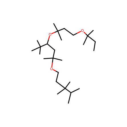 CCC(C)(C)OCCC(C)(C)OC(CC(C)(C)OCCC(C)(C)C(C)C)C(C)(C)C